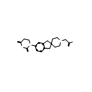 O=C(O)CN1CCC2(CC1)Cc1ccc(N3CCC(=O)NC3=O)cc1C2